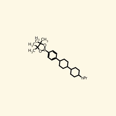 CCCC1CCC(C2CCC(c3ccc(B4OC(C)(C)C(C)(C)O4)cc3)CC2)CC1